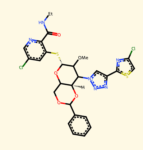 CCNC(=O)c1ncc(Cl)cc1S[C@H]1OC2COC(c3ccccc3)O[C@@H]2C(n2cc(-c3nc(Cl)cs3)nn2)C1OC